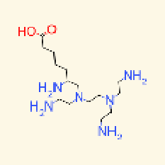 NCCN(CCN)CCN(CCN)CC(N)CCCCC(=O)O